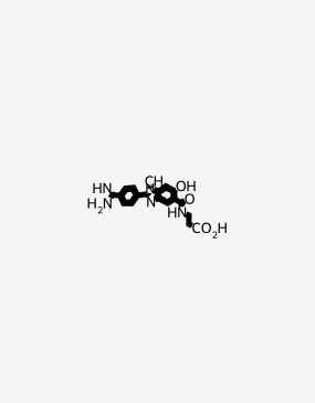 Cn1c(-c2ccc(C(=N)N)cc2)nc2cc(C(=O)NCCC(=O)O)c(O)cc21